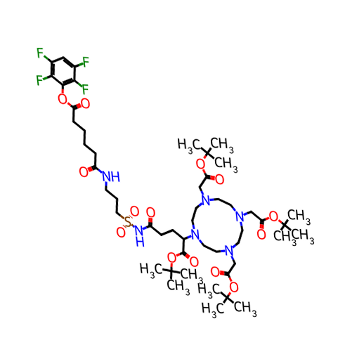 CC(C)(C)OC(=O)CN1CCN(CC(=O)OC(C)(C)C)CCN(C(CCC(=O)NS(=O)(=O)CCCNC(=O)CCCCC(=O)Oc2c(F)c(F)cc(F)c2F)C(=O)OC(C)(C)C)CCN(CC(=O)OC(C)(C)C)CC1